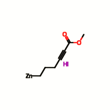 COC(=O)C#CCC[CH2][Zn].I